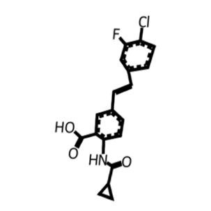 O=C(O)c1cc(C=Cc2ccc(Cl)c(F)c2)ccc1NC(=O)C1CC1